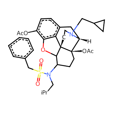 CC(=O)Oc1ccc2c3c1OC1C(N(CC(C)C)S(=O)(=O)Cc4ccccc4)CC[C@@]4(OC(C)=O)[C@@H](C2)N(CC2CC2)CC[C@]314